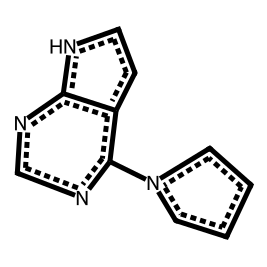 c1ccn(-c2ncnc3[nH]ccc23)c1